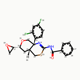 O=C(NC1=N[C@@]2(c3ccc(F)cc3F)CO[C@@H](C3CO3)C[C@H]2CS1)c1ccccc1